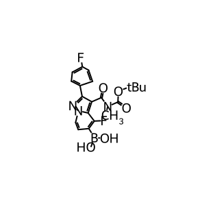 CN(C(=O)OC(C)(C)C)C(=O)c1c(-c2ccc(F)cc2)nn2ccc(B(O)O)c(F)c12